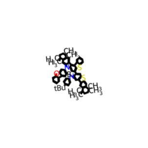 CC(C)(C)c1ccc(N2B3c4cc5c(cc4-n4c6cc7c(cc6c6c8c(sc9ccccc98)c(c3c64)-c3cc4sc6cc8c(cc6c4cc32)C(C)(C)CCC8(C)C)C(C)(C)CCC7(C)C)oc2ccccc25)cc1